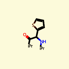 CC(C)NC(C(=O)C(C)C)c1cccs1